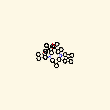 c1ccc(C2(c3ccccc3)c3ccccc3-c3ccc(N(c4ccc(-c5ccccc5-c5ccc(N(c6ccc7c(c6)C(c6ccccc6)(c6ccccc6)c6ccccc6-7)c6ccc(-c7cccc8ccccc78)c7ccccc67)cc5)cc4)c4ccc(-c5cccc6ccccc56)c5ccccc45)cc32)cc1